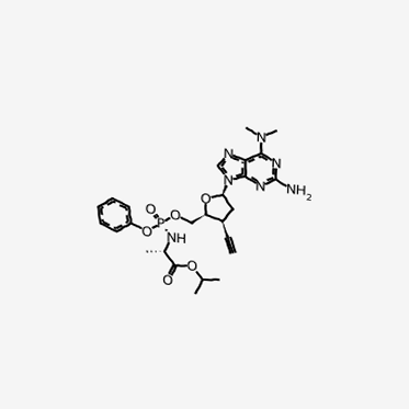 C#C[C@@H]1C[C@H](n2cnc3c(N(C)C)nc(N)nc32)O[C@@H]1CO[P@@](=O)(N[C@@H](C)C(=O)OC(C)C)Oc1ccccc1